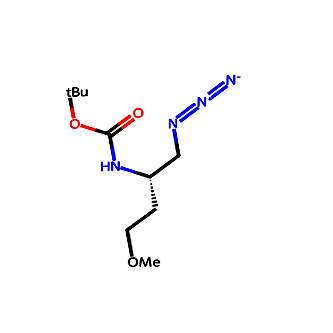 COCC[C@@H](CN=[N+]=[N-])NC(=O)OC(C)(C)C